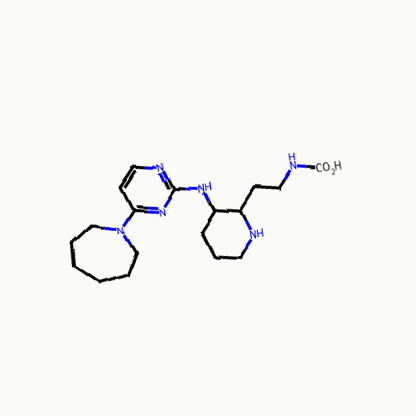 O=C(O)NCCC1NCCCC1Nc1nccc(N2CCCCCC2)n1